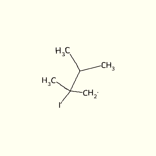 [CH2]C(C)(I)C(C)C